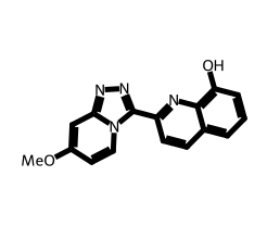 COc1ccn2c(-c3ccc4cccc(O)c4n3)nnc2c1